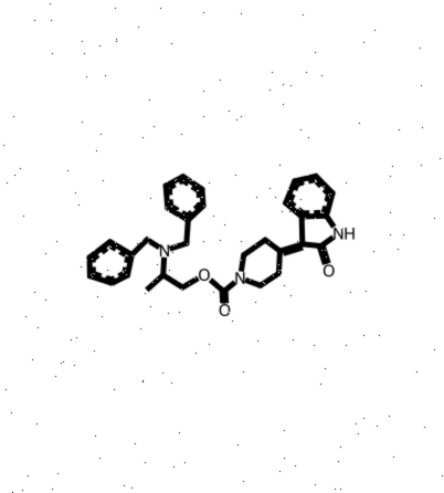 CC(COC(=O)N1CCC(=C2C(=O)Nc3ccccc32)CC1)N(Cc1ccccc1)Cc1ccccc1